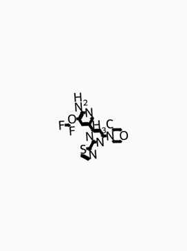 C[C@H]1COCCN1c1cc(-c2cnc(N)c(OC(F)F)c2)nc(-c2nccs2)n1